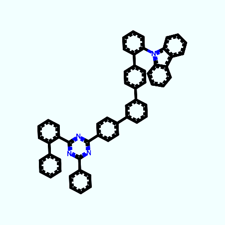 c1ccc(-c2nc(-c3ccc(-c4cccc(-c5ccc(-c6ccccc6-n6c7ccccc7c7ccccc76)cc5)c4)cc3)nc(-c3ccccc3-c3ccccc3)n2)cc1